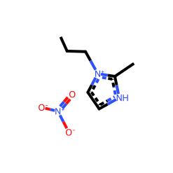 CCC[n+]1cc[nH]c1C.O=[N+]([O-])[O-]